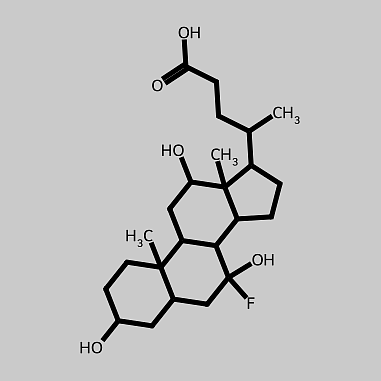 CC(CCC(=O)O)C1CCC2C3C(CC(O)C12C)C1(C)CCC(O)CC1CC3(O)F